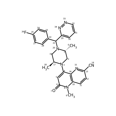 C[C@@H]1CN(c2cc(=O)n(C)c3ccc(C#N)nc23)[C@@H](C)CN1C(c1ccc(F)cc1)c1cccnn1